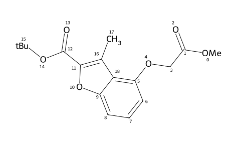 COC(=O)COc1cccc2oc(C(=O)OC(C)(C)C)c(C)c12